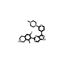 Cc1c2c(cc(F)c1-c1ncc3[nH]nc(-c4ccnc(N5CCN(C)CC5)c4)c3n1)CCNC2